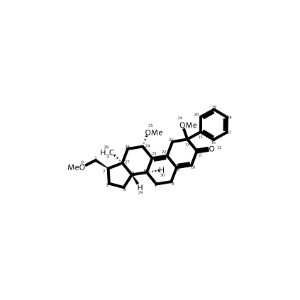 COC[C@@H]1CC[C@H]2[C@@H]3CCC4=CC(=O)C(OC)(c5ccccc5)CC4=C3[C@@H](OC)C[C@]12C